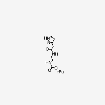 CC(C)(C)OC(=O)NCCNC(=O)Cc1cc[nH]n1